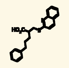 O=C(O)C(CCCc1ccccc1)CSc1ccc2ccccc2n1